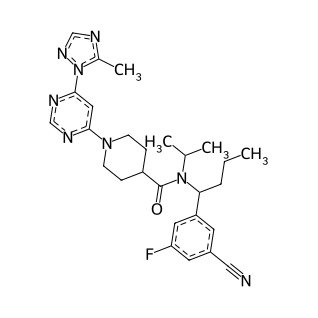 CCCC(c1cc(F)cc(C#N)c1)N(C(=O)C1CCN(c2cc(-n3ncnc3C)ncn2)CC1)C(C)C